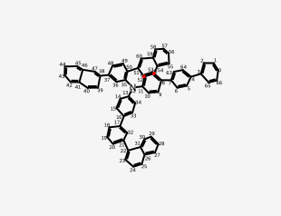 c1ccc(-c2ccc(-c3ccc(N(c4ccc(-c5cccc(-c6cccc7ccccc67)c5)cc4)c4cc(-c5ccc6ccccc6c5)ccc4-c4ccc5ccccc5c4)cc3)cc2)cc1